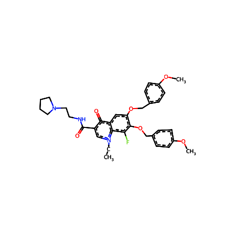 CCn1cc(C(=O)NCCN2CCCC2)c(=O)c2cc(OCc3ccc(OC)cc3)c(OCc3ccc(OC)cc3)c(F)c21